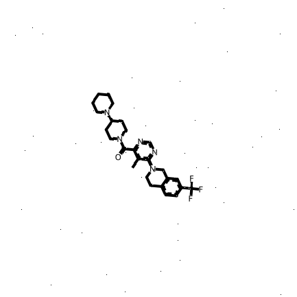 Cc1c(C(=O)N2CCC(N3CCCCC3)CC2)ncnc1N1CCc2ccc(C(F)(F)F)cc2C1